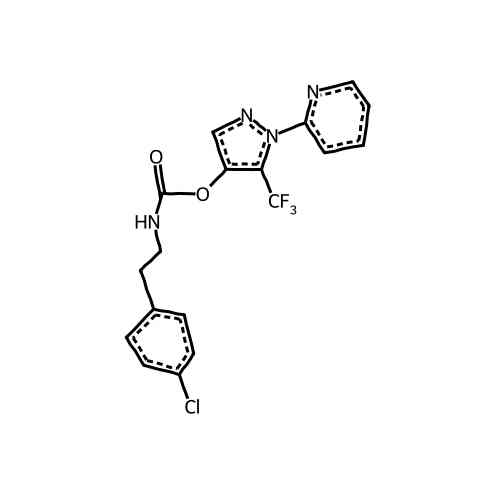 O=C(NCCc1ccc(Cl)cc1)Oc1cnn(-c2ccccn2)c1C(F)(F)F